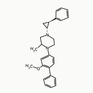 COc1cc(N2CCN([C@@H]3C[C@H]3c3ccccc3)CC2C)ccc1-c1ccccc1